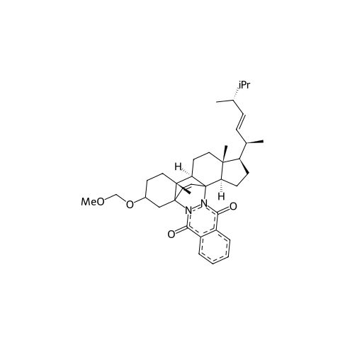 COCOC1CC[C@]2(C)[C@H]3CC[C@]4(C)[C@@H]([C@H](C)C=C[C@H](C)C(C)C)CC[C@H]4C34C=CC2(C1)n1c(=O)c2ccccc2c(=O)n14